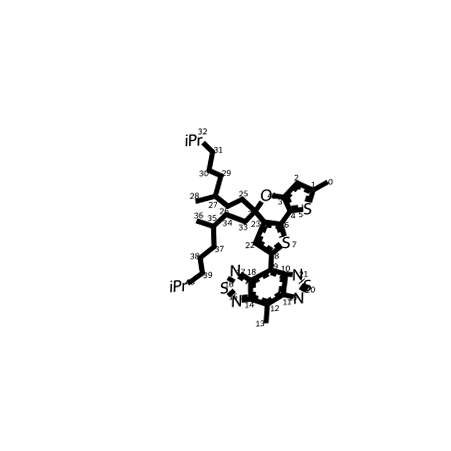 Cc1cc2c(s1)-c1sc(-c3c4c(c(C)c5nsnc35)N=S=N4)cc1C(CCC(C)CCCC(C)C)(CCC(C)CCCC(C)C)O2